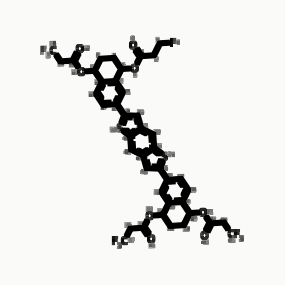 O=C(CCF)OC1CCC(OC(=O)CC(F)(F)F)c2ccc(-c3cc4cc5sc(-c6ccc7c(c6)C(OC(=O)CC(F)(F)F)CCC7OC(=O)CC(F)(F)F)cc5cc4s3)cc21